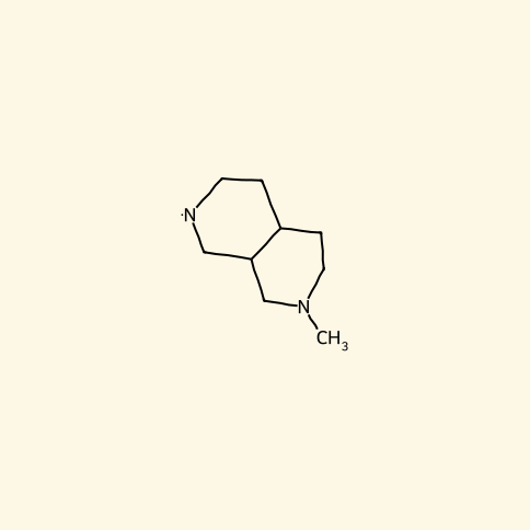 CN1CCC2CC[N]CC2C1